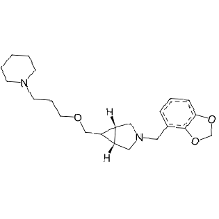 c1cc(CN2C[C@@H]3C(COCCCN4CCCCC4)[C@@H]3C2)c2c(c1)OCO2